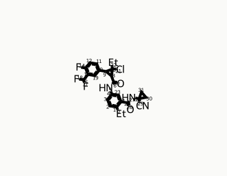 CCc1ccc(NC(=O)C2C(c3ccc(F)c(C(F)F)c3)C2(Cl)CC)cc1C(=O)NC1(C#N)CC1